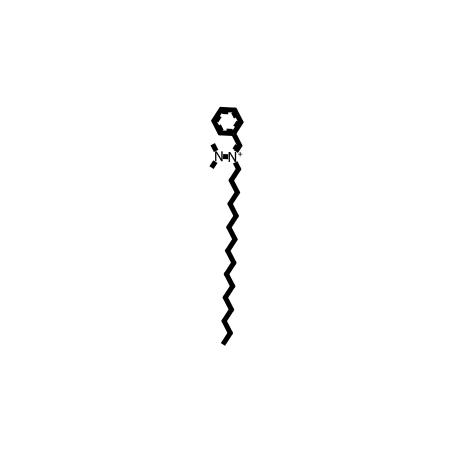 CCCCCCCCCCCCCCCC[N+](=Cc1ccccc1)N(C)C